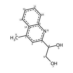 Cc1cc(C(O)CO)nc2ccccc12